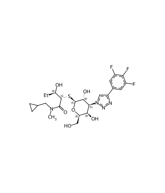 CC[C@@H](O)[C@H](S[C@@H]1O[C@H](CO)[C@H](O)[C@H](n2cc(-c3cc(F)c(F)c(F)c3)nn2)[C@H]1O)C(=O)N(C)CC1CC1